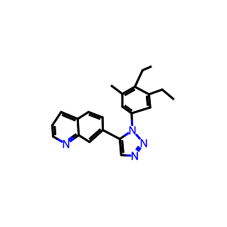 CCc1cc(-n2nncc2-c2ccc3cccnc3c2)cc(C)c1CC